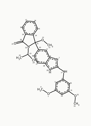 COc1cc(Nc2nc3cc(C4(OC)c5ccccc5C(=O)N4C(C)C)ccc3[nH]2)cc(OC)c1